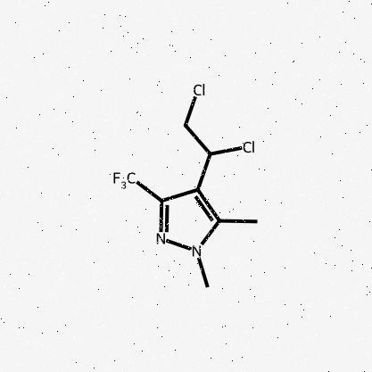 Cc1c(C(Cl)CCl)c(C(F)(F)F)nn1C